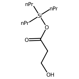 CCC[Si](CCC)(CCC)OC(=O)CCO